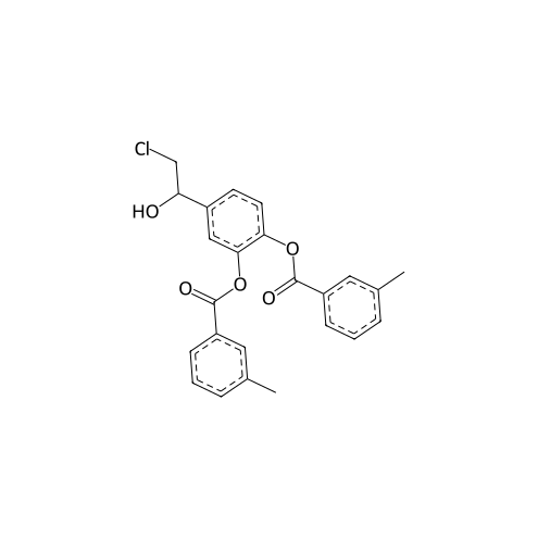 Cc1cccc(C(=O)Oc2ccc(C(O)CCl)cc2OC(=O)c2cccc(C)c2)c1